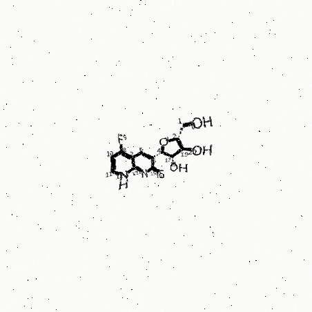 OC[C@H]1O[C@@H](c2cc3c(F)cc[nH]c-3nc2=S)[C@@H](O)C1O